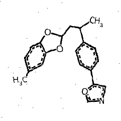 Cc1ccc2c(c1)OC(CC(C)c1ccc(-c3cnco3)cc1)O2